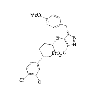 CCOC(=O)c1nnn(Cc2ccc(OC)cc2)c1S[C@H]1CC[C@@H](c2ccc(Cl)c(Cl)c2)CC1